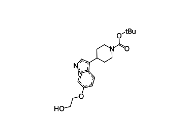 CC(C)(C)OC(=O)N1CCC(c2cnn3cc(OCCO)ccc23)CC1